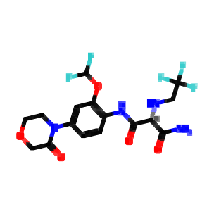 NC(=O)[C@@H](NCC(F)(F)F)C(=O)Nc1ccc(N2CCOCC2=O)cc1OC(F)F